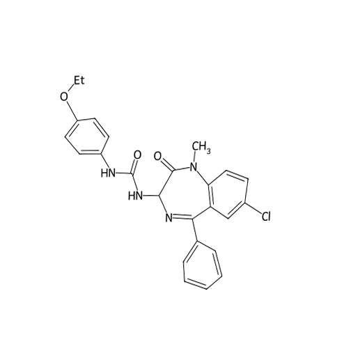 CCOc1ccc(NC(=O)NC2N=C(c3ccccc3)c3cc(Cl)ccc3N(C)C2=O)cc1